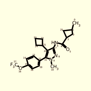 CC1CC(C(=O)Nc2nn(C)c(-c3ccc(OC(F)(F)F)cc3)c2C2CCC2)C1